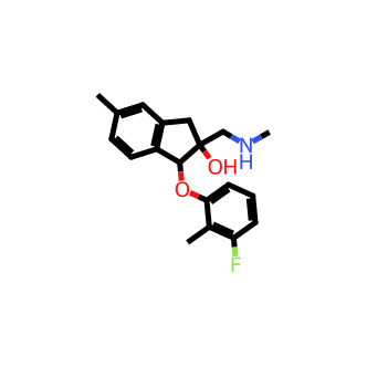 CNCC1(O)Cc2cc(C)ccc2C1Oc1cccc(F)c1C